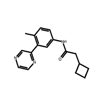 Cc1ccc(NC(=O)CC2CCC2)cc1-c1cnccn1